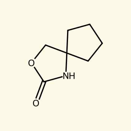 O=C1NC2(CCCC2)CO1